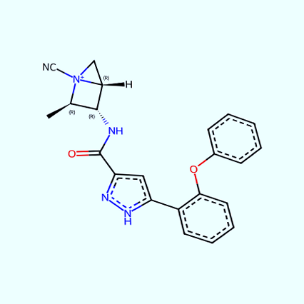 C[C@@H]1[C@@H](NC(=O)c2cc(-c3ccccc3Oc3ccccc3)[nH]n2)[C@H]2C[N+]12C#N